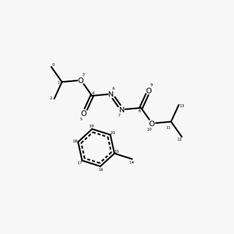 CC(C)OC(=O)/N=N/C(=O)OC(C)C.Cc1ccccc1